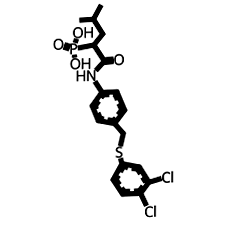 CC(C)CC(C(=O)Nc1ccc(CSc2ccc(Cl)c(Cl)c2)cc1)P(=O)(O)O